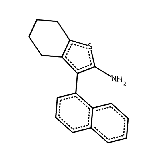 Nc1sc2c(c1-c1cccc3ccccc13)CCCC2